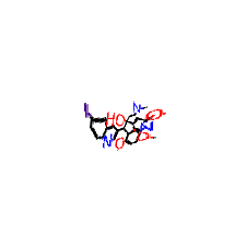 COc1cc(C(O)(CCN(C)C)C(c2ccccc2)c2cc3cc(I)ccc3nc2OC)cc(OC)n1